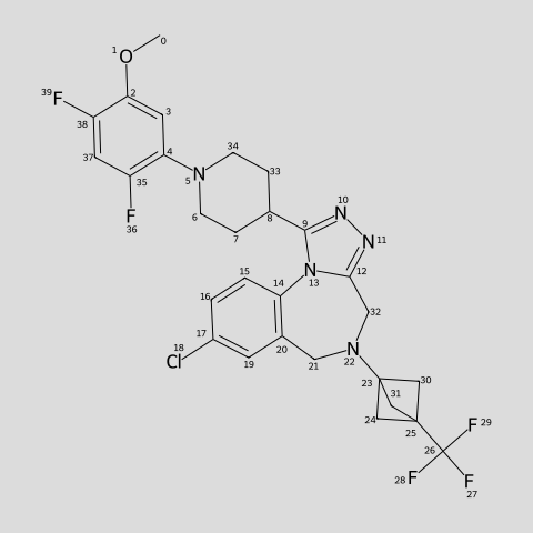 COc1cc(N2CCC(c3nnc4n3-c3ccc(Cl)cc3CN(C35CC(C(F)(F)F)(C3)C5)C4)CC2)c(F)cc1F